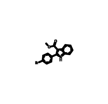 COC(=O)c1c(-c2ccc(Br)cc2)[nH]c2ccccc12